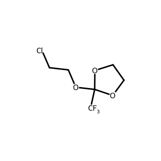 FC(F)(F)C1(OCCCl)OCCO1